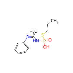 CCCSP(=O)(O)NC(C)=Nc1ccccc1